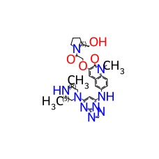 C[C@@H]1CN(c2cc(Nc3ccc4c(c3)cc(OCC(=O)N3CCC[C@H]3CO)c(=O)n4C)n3ncnc3n2)C[C@H](C)N1